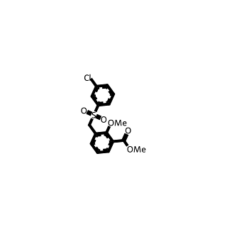 COC(=O)c1cccc(CS(=O)(=O)c2cccc(Cl)c2)c1OC